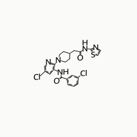 O=C(CC1CCN(c2ncc(Cl)cc2NC(=O)c2cccc(Cl)c2)CC1)Nc1nccs1